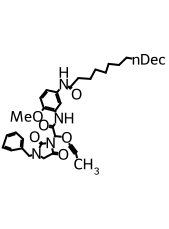 CC#COC(C(=O)Nc1cc(NC(=O)CCCCCCCCCCCCCCCCC)ccc1OC)N1C(=O)CN(Cc2ccccc2)C1=O